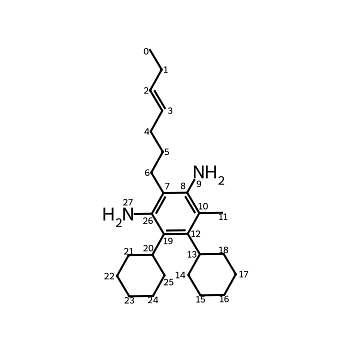 CCC=CCCCc1c(N)c(C)c(C2CCCCC2)c(C2CCCCC2)c1N